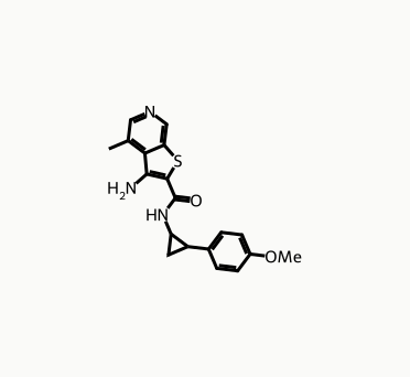 COc1ccc(C2CC2NC(=O)c2sc3cncc(C)c3c2N)cc1